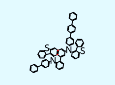 c1ccc(-c2ccc(-c3ccc(N(c4cccc(-c5ccccc5N(c5ccc(-c6ccccc6)cc5)c5cccc6sc7ccccc7c56)c4)c4cccc5sc6ccccc6c45)cc3)cc2)cc1